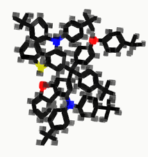 CC(C)(C)c1ccc(Oc2ccc(C3(c4ccc(C(C)(C)C)cc4)c4cc(N(c5ccc(C(C)(C)C)cc5)c5ccc(C(C)(C)C)cc5)c5c(oc6ccccc65)c4-c4c3cc(N(c3ccc(C(C)(C)C)cc3)c3ccc(C(C)(C)C)cc3)c3c4sc4ccccc43)cc2)cc1